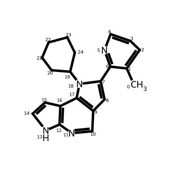 Cc1cccnc1-c1cc2cnc3[nH]ccc3c2n1C1CCCCC1